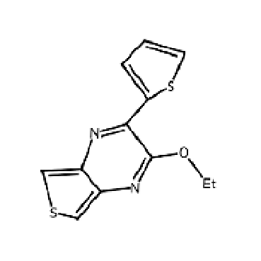 CCOc1nc2cscc2nc1-c1cccs1